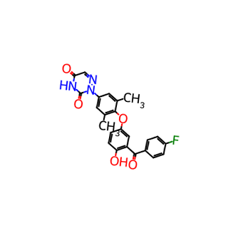 Cc1cc(-n2ncc(=O)[nH]c2=O)cc(C)c1Oc1ccc(O)c(C(=O)c2ccc(F)cc2)c1